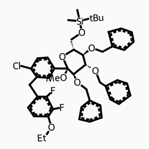 CCOc1ccc(Cc2cc([C@]3(OC)O[C@H](CO[Si](C)(C)C(C)(C)C)[C@@H](OCc4ccccc4)[C@H](OCc4ccccc4)[C@H]3OCc3ccccc3)ccc2Cl)c(F)c1F